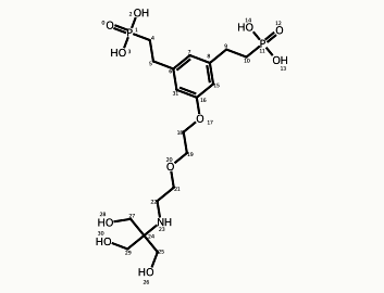 O=P(O)(O)CCc1cc(CCP(=O)(O)O)cc(OCCOCCNC(CO)(CO)CO)c1